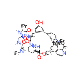 CCn1c(-c2cccnc2[C@H](C)OC)c2c3cc(ccc31)-c1cc(O)cc(c1)C[C@H](NC(=O)C(C(C)C)N(C)C(=O)CN(C)C(=O)[C@@H]1CN1C(C)C)C(=O)N1CCC[C@H](N1)C(=O)OCC(C)(C)C2